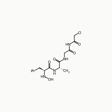 CC(C)C[C@H](NO)C(=O)N[C@@H](C)C(=O)NCC(=O)NC(=O)CCl